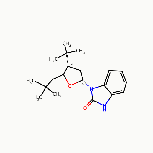 CC(C)(C)CC1O[C@@H](n2c(=O)[nH]c3ccccc32)C[C@H]1C(C)(C)C